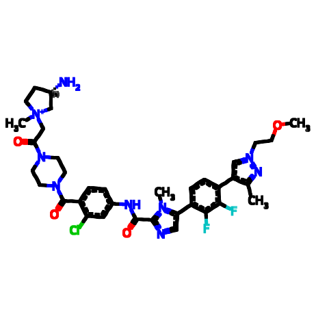 COCCn1cc(-c2ccc(-c3cnc(C(=O)Nc4ccc(C(=O)N5CCN(C(=O)C[N+]6(C)CC[C@H](N)C6)CC5)c(Cl)c4)n3C)c(F)c2F)c(C)n1